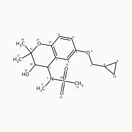 CN(C1c2cc(OCC3CC3)ccc2OC(C)(C)C1O)S(C)(=O)=O